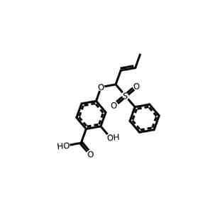 CC=CC(Oc1ccc(C(=O)O)c(O)c1)S(=O)(=O)c1ccccc1